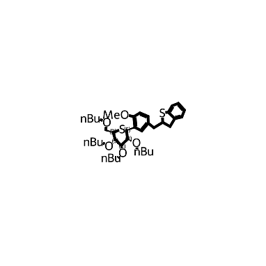 CCCCOC[C@H]1S[C@@H](c2cc(CC3Cc4ccccc4S3)ccc2OC)[C@H](OCCCC)[C@@H](OCCCC)[C@@H]1OCCCC